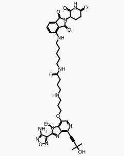 CCn1c(-c2nonc2N)nc2c(C#CC(C)(C)O)ncc(OCCCNCCCC(=O)NCCCCCNc3cccc4c3C(=O)N(C3CCC(=O)NC3=O)C4=O)c21